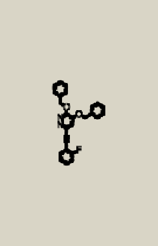 Fc1ccccc1C#Cc1cc(OCc2ccccc2)c(OCc2ccccc2)nn1